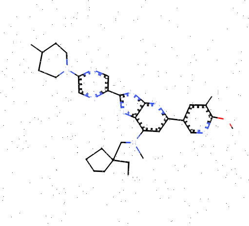 CCOC(=O)C1CCN(c2cnc(-c3nc4nc(-c5cnc(OCC)c(C(F)(F)F)c5)cc(N(C)CC5(COC)CCCC5)c4[nH]3)cn2)CC1